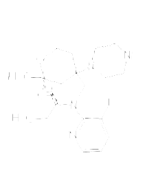 CCC(=O)N(CC1(N2CCNCC2)CCOC(C)(C)C1)c1ncccc1F